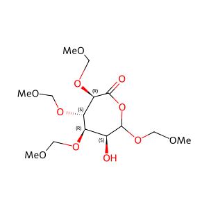 COCOC1OC(=O)[C@H](OCOC)[C@@H](OCOC)[C@H](OCOC)[C@@H]1O